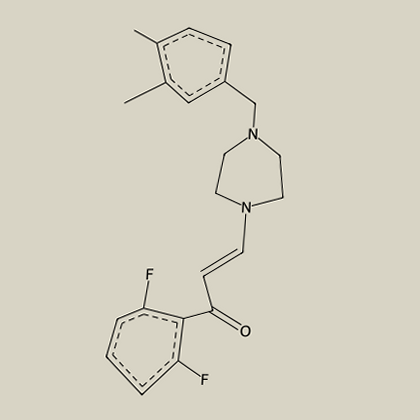 Cc1ccc(CN2CCN(C=CC(=O)c3c(F)cccc3F)CC2)cc1C